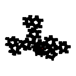 c1ccc(-c2cccc3c2c2c(-c4cccc(N(c5ccc(-c6cccc7ccccc67)cc5)c5ccc(-c6cccc7ccccc67)cc5)c4)cccc2n3-c2ccccc2)cc1